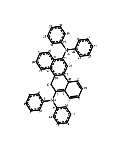 C1=CC2=C(N(c3ccccc3)c3ccccc3)Cc3c(cc(N(c4ccccc4)c4ccccc4)c4ccccc34)C2C=C1